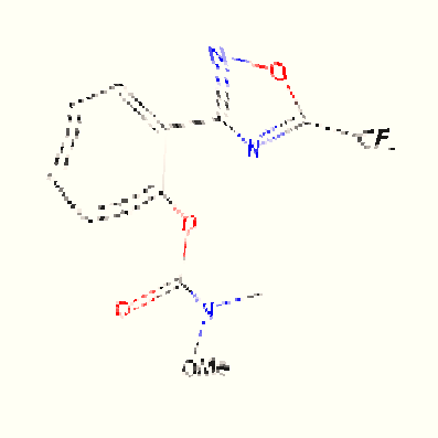 CON(C)C(=O)Oc1ccccc1-c1noc(C(F)(F)F)n1